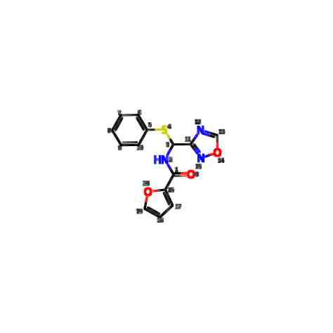 O=C(NC(Sc1ccccc1)c1ncon1)c1ccco1